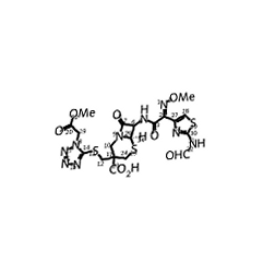 CON=C(C(=O)NC1C(=O)N2CC(CSc3nnnn3CC(=O)OC)(C(=O)O)CS[C@H]12)c1csc(NC=O)n1